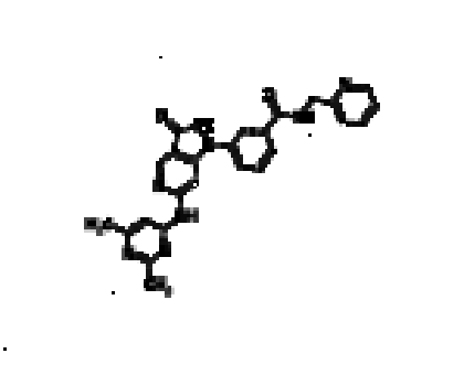 Cc1cc(Nc2cc3c(cn2)c(=O)[nH]n3-c2cccc(C(=O)NCc3ccccn3)c2)nc(C)n1